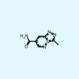 Cc1nnc2cc(C(N)=O)cnn12